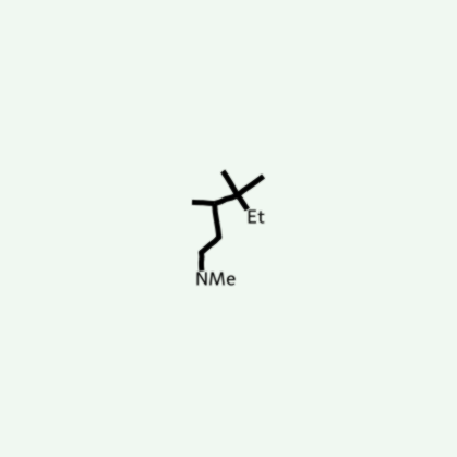 CCC(C)(C)C(C)CCNC